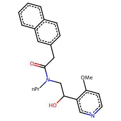 CCCN(CC(O)c1cnccc1OC)C(=O)Cc1ccc2ccccc2c1